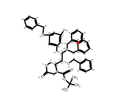 CC(C)(C)OC(=O)N1CC(=O)OC[C@@H]1[C@@H](OCc1ccccc1)[C@H](Cc1cc(F)cc(OCc2ccccc2)c1)N(Cc1ccccc1)Cc1ccccc1